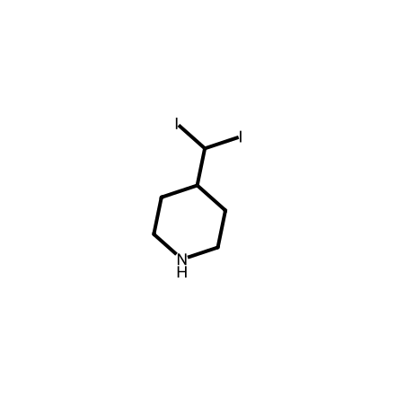 IC(I)C1CCNCC1